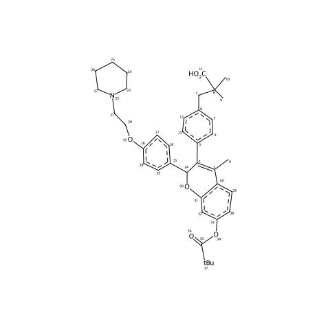 CC1=C(c2ccc(CC(C)(C)C(=O)O)cc2)C(c2ccc(OCCN3CCCCC3)cc2)Oc2cc(OC(=O)C(C)(C)C)ccc21